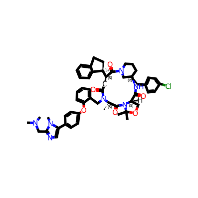 C[C@H]1C(=O)N2[C@@H](COC2(C)C)C(=O)N[C@@]2(Cc3ccc(Cl)cc3)CCCN(C2)C(=O)[C@H]([C@@H]2CCc3ccccc32)CC(=O)N1Cc1ccccc1Oc1ccc(-c2cnc(CN(C)C)n2C)cc1